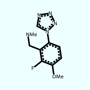 CNCc1c(-n2cnnn2)ccc(OC)c1F